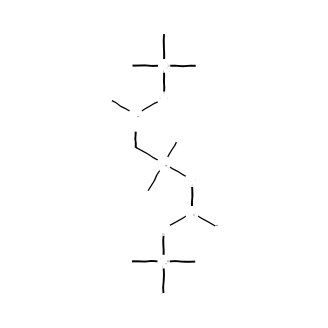 CC[SiH](C[Si](C)(CC)O[SiH](CC)O[Si](C)(C)C)O[Si](C)(C)C